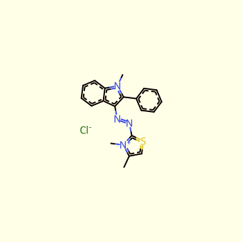 Cc1csc(/N=N/c2c(-c3ccccc3)n(C)c3ccccc23)[n+]1C.[Cl-]